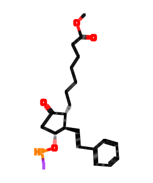 COC(=O)CCCCCC[C@H]1C(=O)C[C@@H](OPI)[C@@H]1/C=C/c1ccccc1